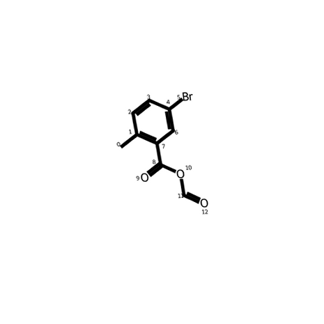 Cc1ccc(Br)cc1C(=O)OC=O